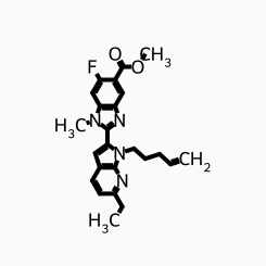 C=CCCCn1c(-c2nc3cc(C(=O)OC)c(F)cc3n2C)cc2ccc(CC)nc21